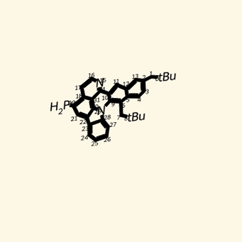 CC(C)(C)Cc1ccc2c(CC(C)(C)C)c3c(cc2c1)c1nccc2c(P)cc4c5ccccc5n3c4c21